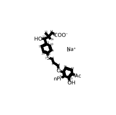 CCCc1c(OCCCSc2ccc(C(O)C(C)(C)CC(=O)[O-])cc2)ccc(C(C)=O)c1O.[Na+]